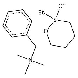 CC[Si]1([O-])CCCCO1.C[N+](C)(C)Cc1ccccc1